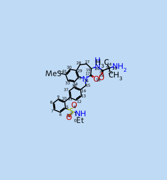 CCNS(=O)(=O)c1ccccc1-c1ccc(CN2C(=O)[C@H](NC(=O)C(C)(C)N)CCc3cc(SC)ccc32)cc1